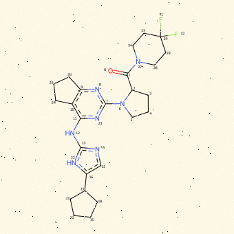 O=C(C1CCCN1c1nc2c(c(Nc3ncc(C4CCCC4)[nH]3)n1)CCC2)N1CCC(F)(F)CC1